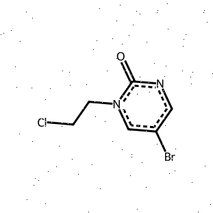 O=c1ncc(Br)cn1CCCl